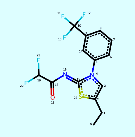 CCc1cn(-c2cccc(C(F)(F)F)c2)c(=NC(=O)C(F)F)s1